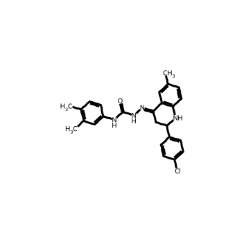 Cc1ccc2c(c1)C(=NNC(=O)Nc1ccc(C)c(C)c1)CC(c1ccc(Cl)cc1)N2